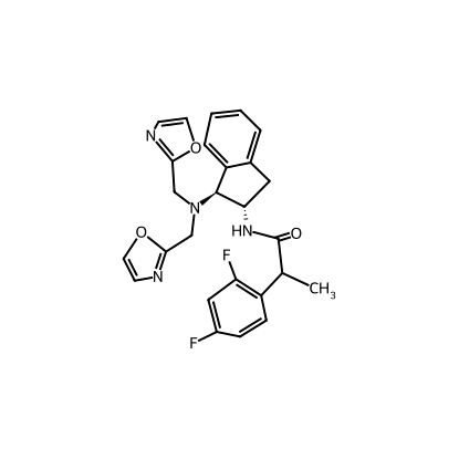 CC(C(=O)N[C@H]1Cc2ccccc2[C@@H]1N(Cc1ncco1)Cc1ncco1)c1ccc(F)cc1F